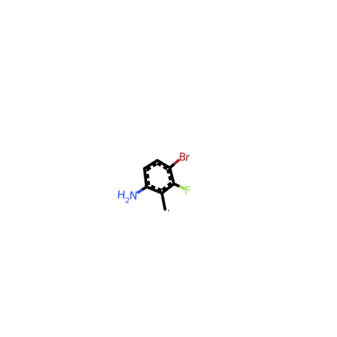 [CH2]c1c(N)ccc(Br)c1F